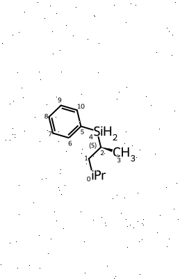 CC(C)C[C@H](C)[SiH2]c1ccccc1